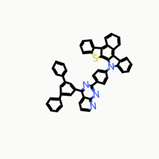 c1ccc(-c2cc(-c3ccccc3)cc(-c3nc(-c4ccc(-n5c6ccccc6c6c7ccccc7c7c8ccccc8sc7c65)cc4)nc4ncccc34)c2)cc1